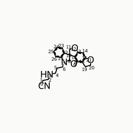 N#CCCNCCCN1C(=O)C2(COc3cc4c(cc32)CCO4)c2ccccc21